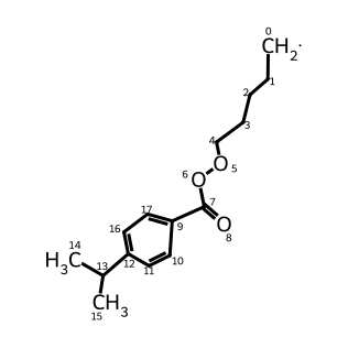 [CH2]CCCCOOC(=O)c1ccc(C(C)C)cc1